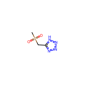 CS(=O)(=O)Cc1nnn[nH]1